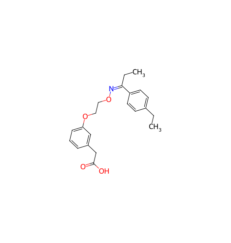 CCC(=NOCCOc1cccc(CC(=O)O)c1)c1ccc(CC)cc1